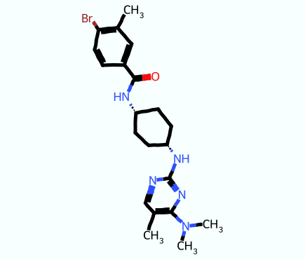 Cc1cc(C(=O)N[C@H]2CC[C@@H](Nc3ncc(C)c(N(C)C)n3)CC2)ccc1Br